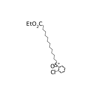 CCOC(=O)CCCCCCCCCCCCC[S+]([O-])c1ccccc1Cl